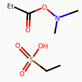 CCC(=O)ON(C)C.CCS(=O)(=O)O